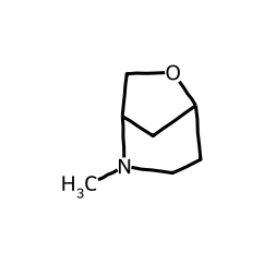 CN1CCC2CC1CO2